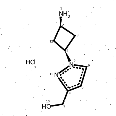 Cl.N[C@H]1C[C@@H](n2ccc(CO)n2)C1